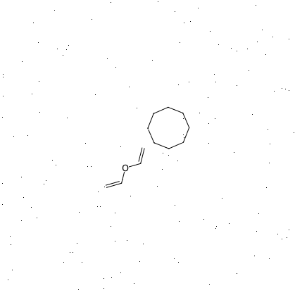 C1CCCCCCC1.C=COC=C